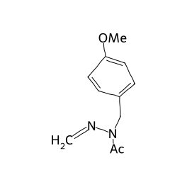 C=NN(Cc1ccc(OC)cc1)C(C)=O